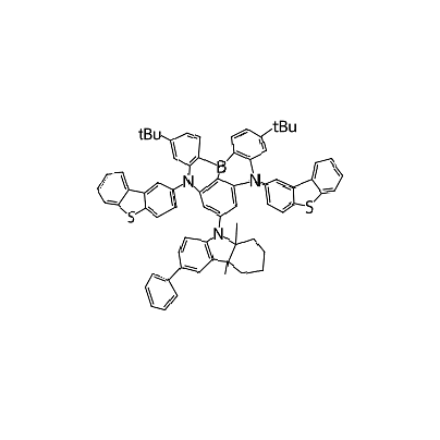 CC(C)(C)c1ccc2c(c1)N(c1ccc3sc4ccccc4c3c1)c1cc(N3c4ccc(-c5ccccc5)cc4C4(C)CCCCC34C)cc3c1B2c1ccc(C(C)(C)C)cc1N3c1ccc2sc3ccccc3c2c1